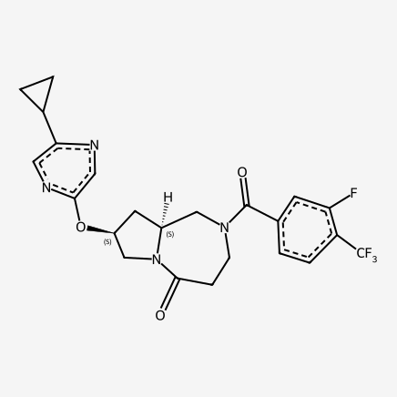 O=C(c1ccc(C(F)(F)F)c(F)c1)N1CCC(=O)N2C[C@@H](Oc3cnc(C4CC4)cn3)C[C@H]2C1